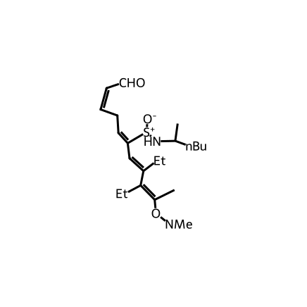 CCCCC(C)N[S+]([O-])C(=C\C/C=C\C=O)/C=C(CC)/C(CC)=C(\C)ONC